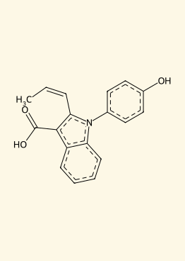 C/C=C\c1c(C(=O)O)c2ccccc2n1-c1ccc(O)cc1